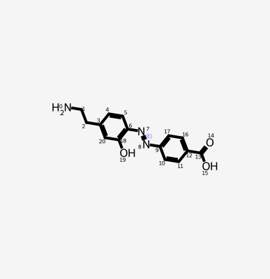 NCCc1ccc(/N=N/c2ccc(C(=O)O)cc2)c(O)c1